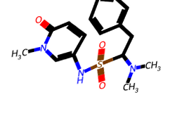 CN(C)C(Cc1ccccc1)S(=O)(=O)Nc1ccc(=O)n(C)c1